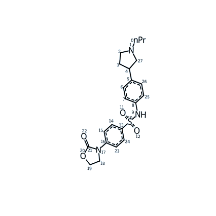 CCCN1CCC(c2ccc(NS(=O)(=O)c3ccc(N4CCOC4=O)cc3)cc2)C1